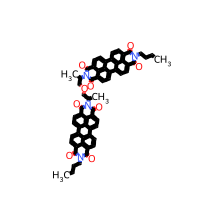 CCCCN1C(=O)c2ccc3c4ccc5c6c(ccc(c7ccc(c2c37)C1=O)c64)C(=O)N(C(C)COCC(C)N1C(=O)c2ccc3c4ccc6c7c(ccc(c8ccc(c2c38)C1=O)c74)C(=O)N(CCCC)C6=O)C5=O